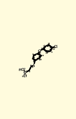 CCN(O)CCSc1ccc(Oc2ccc(Cl)cc2)cc1